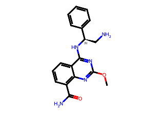 COc1nc(N[C@H](CN)c2ccccc2)c2cccc(C(N)=O)c2n1